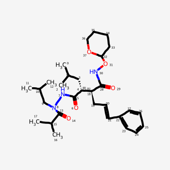 CC(C)C[C@@H](C(=O)NN(CC(C)C)C(=O)C(C)C)[C@H](CC=Cc1ccccc1)C(=O)NOC1CCCCO1